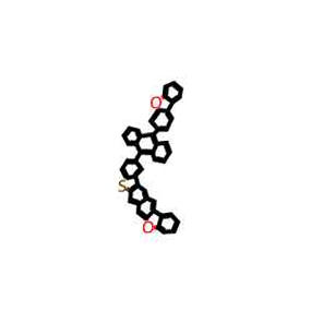 c1ccc2c(c1)oc1cc(-c3c4ccccc4c(-c4ccc5sc6cc7cc8oc9ccccc9c8cc7cc6c5c4)c4ccccc34)ccc12